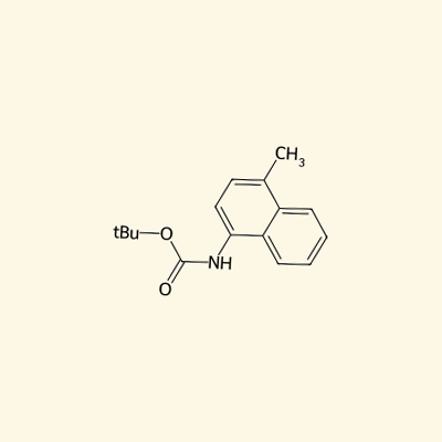 Cc1ccc(NC(=O)OC(C)(C)C)c2ccccc12